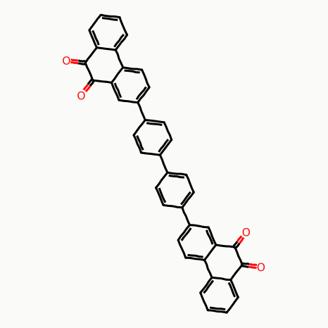 O=C1C(=O)c2cc(-c3ccc(-c4ccc(-c5ccc6c(c5)C(=O)C(=O)c5ccccc5-6)cc4)cc3)ccc2-c2ccccc21